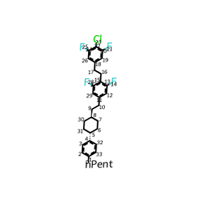 CCCCCc1ccc([C@H]2CC[C@H](CCc3cc(F)c(CCc4cc(F)c(Cl)c(F)c4)c(F)c3)CC2)cc1